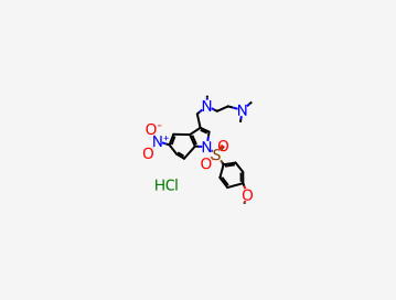 COc1ccc(S(=O)(=O)n2cc(CN(C)CCN(C)C)c3cc([N+](=O)[O-])ccc32)cc1.Cl